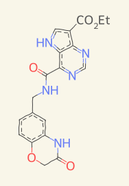 CCOC(=O)c1c[nH]c2c(C(=O)NCc3ccc4c(c3)NC(=O)CO4)ncnc12